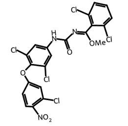 COC(=NC(=O)Nc1cc(Cl)c(Oc2ccc([N+](=O)[O-])c(Cl)c2)c(Cl)c1)c1c(Cl)cccc1Cl